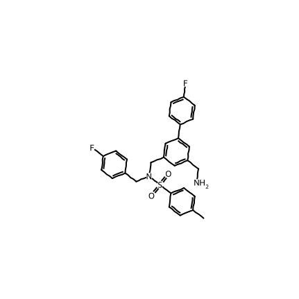 Cc1ccc(S(=O)(=O)N(Cc2ccc(F)cc2)Cc2cc(CN)cc(-c3ccc(F)cc3)c2)cc1